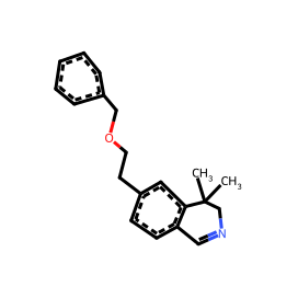 CC1(C)CN=Cc2ccc(CCOCc3ccccc3)cc21